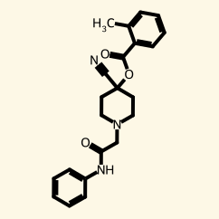 Cc1ccccc1C(=O)OC1(C#N)CCN(CC(=O)Nc2ccccc2)CC1